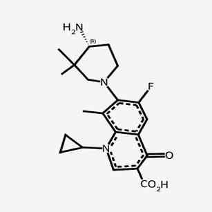 Cc1c(N2CC[C@@H](N)C(C)(C)C2)c(F)cc2c(=O)c(C(=O)O)cn(C3CC3)c12